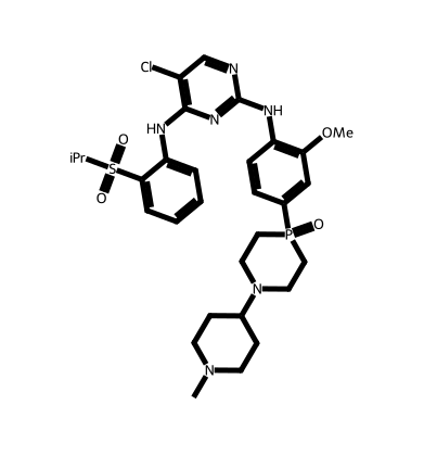 COc1cc(P2(=O)CCN(C3CCN(C)CC3)CC2)ccc1Nc1ncc(Cl)c(Nc2ccccc2S(=O)(=O)C(C)C)n1